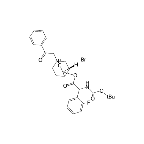 CC(C)(C)OC(=O)NC(C(=O)O[C@H]1C[N+]2(CC(=O)c3ccccc3)CCC1CC2)c1ccccc1F.[Br-]